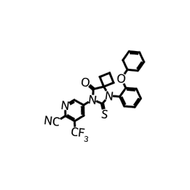 N#Cc1ncc(N2C(=O)C3(CCC3)N(c3ccccc3OC3C=CC=CC3)C2=S)cc1C(F)(F)F